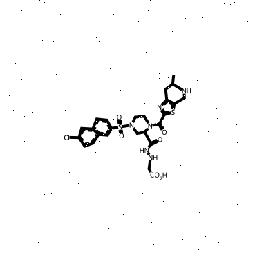 CC1Cc2nc(C(=O)N3CCN(S(=O)(=O)c4ccc5cc(Cl)ccc5c4)CC3C(=O)NNCC(=O)O)sc2CN1